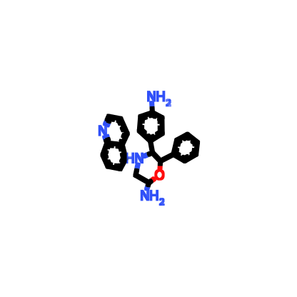 Nc1ccc(C2NCC(N)OC2c2ccccc2)cc1.c1ccc2ncccc2c1